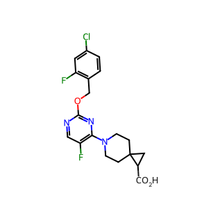 O=C(O)C1CC12CCN(c1nc(OCc3ccc(Cl)cc3F)ncc1F)CC2